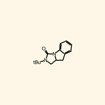 CC(C)(C)N1CC2Cc3ccccc3N2C1=O